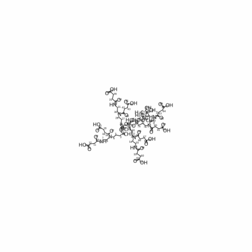 C[SiH](CCCN(CCNC(=O)CCC(=O)O)C(=O)CCC(=O)O)O[Si](C)(CCCN(CCNC(=O)CCC(=O)O)C(=O)CCC(=O)O)O[Si](C)(CCCN(CCNC(=O)CCC(=O)O)C(=O)CCC(=O)O)O[Si](C)(CCCN(CCNC(=O)CCC(=O)O)C(=O)CCC(=O)O)OO[Si](C)(C)O[Si](C)(C)C